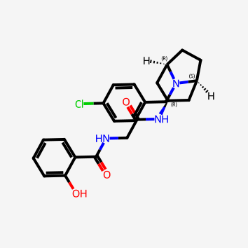 O=C(CNC(=O)c1ccccc1O)N[C@H]1C[C@H]2CC[C@@H](C1)N2Cc1ccc(Cl)cc1